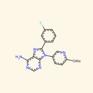 COc1ccc(-n2c(-c3cccc(F)c3)nc3c(N)ncnc32)cn1